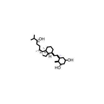 C=C1/C(=C\C=C2CCC[C@]3(C)[C@@H]([C@H](C)CC[C@@H](O)C(C)C)CC[C@@H]23)C[C@@H](O)C[C@H]1O